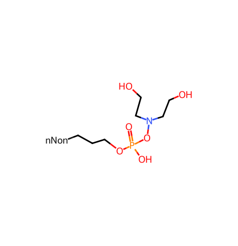 CCCCCCCCCCCCOP(=O)(O)ON(CCO)CCO